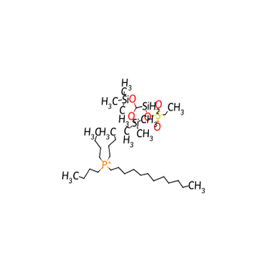 CCCCCCCCCCCC[P+](CCCC)(CCCC)CCCC.CCS(=O)(=O)O[SiH2]C(O[Si](C)(C)C)O[Si](C)(C)C